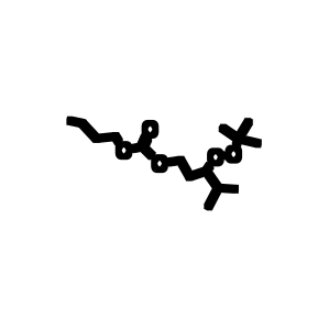 CCCCOC(=O)OCCC(OOC(C)(C)C)C(C)C